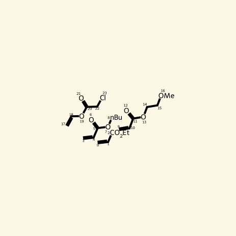 C=CC(=O)OCC.C=CC(=O)OCCCC.C=CC(=O)OCCOC.C=COC(=O)CCl